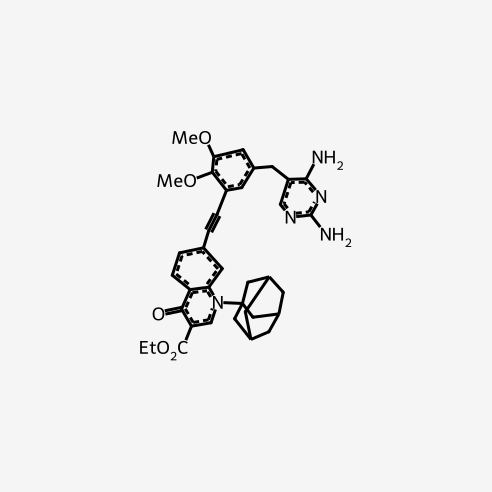 CCOC(=O)c1cn(C23CC4CC(CC(C4)C2)C3)c2cc(C#Cc3cc(Cc4cnc(N)nc4N)cc(OC)c3OC)ccc2c1=O